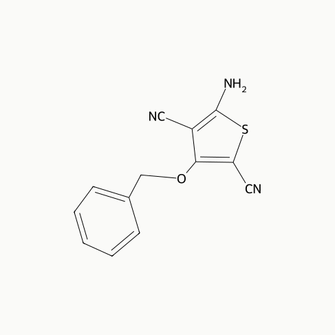 N#Cc1sc(N)c(C#N)c1OCc1ccccc1